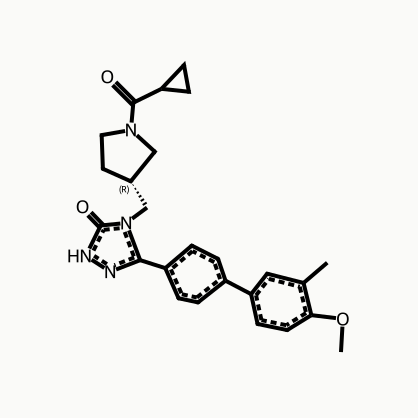 COc1ccc(-c2ccc(-c3n[nH]c(=O)n3C[C@@H]3CCN(C(=O)C4CC4)C3)cc2)cc1C